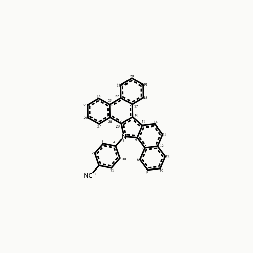 N#Cc1ccc(-n2c3c4ccccc4ccc3c3c4ccccc4c4ccccc4c32)cc1